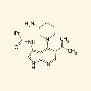 C=C(C)c1cnc2[nH]cc(NC(=O)C(C)C)c2c1N1CCC[C@@H](N)C1